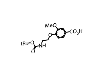 COc1cc(C(=O)O)ccc1OCCNC(=O)OC(C)(C)C